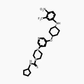 O=[N+]([O-])c1ccc(N[C@H]2CC[C@H](Oc3cncc(N4CCN(C(=S)NC5CCCC5)CC4)c3)CC2)cc1C(F)(F)F